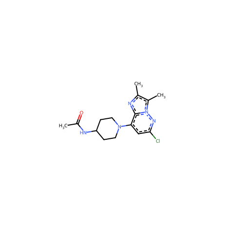 CC(=O)NC1CCN(c2cc(Cl)nn3c(C)c(C)nc23)CC1